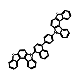 c1ccc2c(c1)sc1ccc3c(c4ccccc4n3-c3ccc(-c4ccc(-n5c6ccccc6c6c7c(ccc65)sc5ccccc57)c5ccccc45)cc3)c12